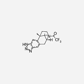 CC1(C)[C@H]2Cc3cc4nn[nH]c4cc3[C@]1(C)CCN2C(=O)C(F)(F)F